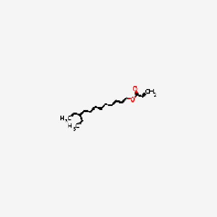 C=CC(=O)OCCCCCCCCCC(CC)CC